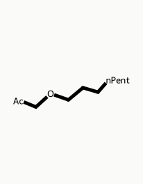 CCCCCCCCOCC(C)=O